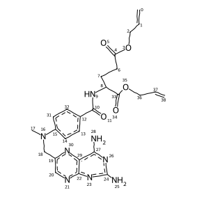 C=CCOC(=O)CCC(NC(=O)c1ccc(N(C)Cc2cnc3nc(N)nc(N)c3n2)cc1)C(=O)OCC=C